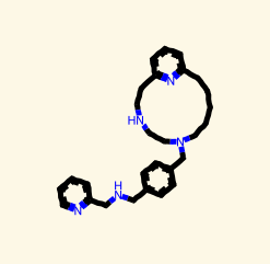 c1ccc(CNCc2ccc(CN3CCCCCc4cccc(n4)CCNCC3)cc2)nc1